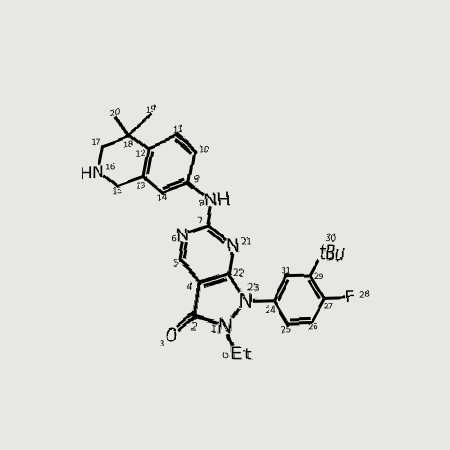 CCn1c(=O)c2cnc(Nc3ccc4c(c3)CNCC4(C)C)nc2n1-c1ccc(F)c(C(C)(C)C)c1